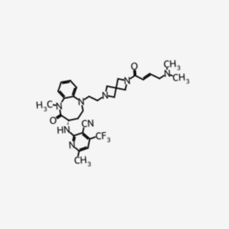 Cc1cc(C(F)(F)F)c(C#N)c(N[C@H]2CCN(CCN3CC4(C3)CN(C(=O)/C=C/CN(C)C)C4)c3ccccc3N(C)C2=O)n1